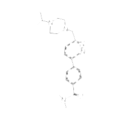 CC(C)N1CCN(Cc2ccc(-c3ccc(C(=O)N(C)C)cc3)nn2)CC1